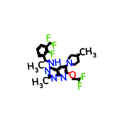 C[C]1CCN(c2cc3c(N[C@H](C)c4cccc(C(F)F)c4F)nc(C)nc3nc2OCC(F)F)CC1